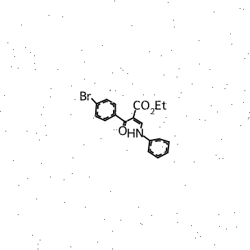 CCOC(=O)C(=CNc1ccccc1)C(=O)c1ccc(Br)cc1